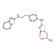 CC(O)CC1SC(Nc2ccc(CCNc3nc4ccccc4s3)cc2)=NC1=O